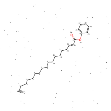 CCCCCCCCCCCCCCCCCCCCCCCCC=CC(=O)Oc1ccccc1